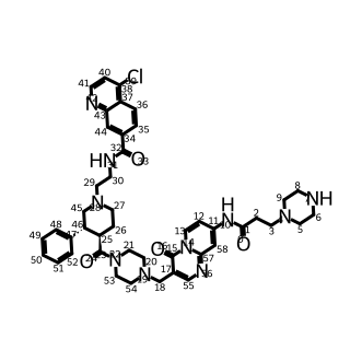 O=C(CCN1CCNCC1)Nc1ccn2c(=O)c(CN3CCN(C(=O)[C@@H]4CCN(CCNC(=O)c5ccc6c(Cl)ccnc6c5)C[C@H]4c4ccccc4)CC3)cnc2c1